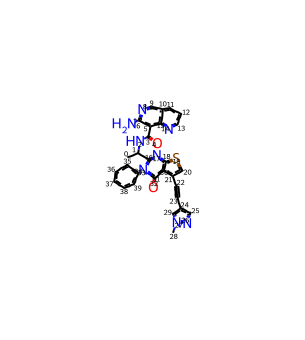 CC(NC(=O)c1c(N)ncc2cccnc12)c1nc2scc(C#Cc3cnn(C)c3)c2c(=O)n1-c1ccccc1